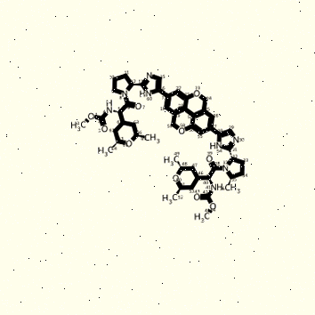 COC(=O)N[C@H](C(=O)N1CCC[C@H]1c1ncc(-c2cc3c4c(c2)OCc2cc(-c5cnc([C@@H]6CC[C@H](C)N6C(=O)[C@@H](NC(=O)OC)C6C[C@@H](C)O[C@H](C)C6)[nH]5)cc(c2-4)OC3)[nH]1)C1C[C@@H](C)O[C@H](C)C1